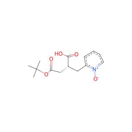 CC(C)(C)OC(=O)C[C@@H](Cc1cccc[n+]1[O-])C(=O)O